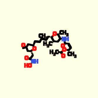 CC(=O)O[C@@H](C)/C=C\C(=O)N[C@@H]1C[C@H](C)[C@H](C/C=C(C)/C=C/[C@@H]2C[C@]3(CO3)C[C@@H](CC(=O)NO)O2)O[C@@H]1C